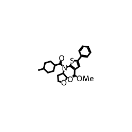 COC(=O)c1cc(-c2ccccc2)sc1N(C(=O)C1CCC(C)CC1)C1CCOC1